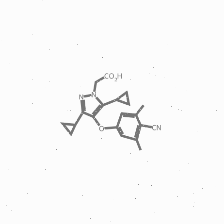 Cc1cc(Oc2c(C3CC3)nn(CC(=O)O)c2C2CC2)cc(C)c1C#N